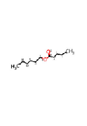 CCC[CH]C(=O)OCCCCCC